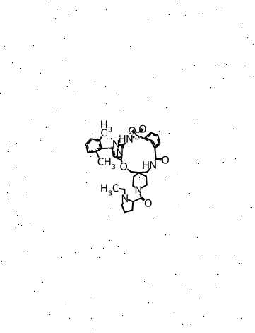 CCN1CCCC1C(=O)N1CCC2(CC1)CNC(=O)c1cccc(c1)S(=O)(=O)Nc1nc(cc(-c3c(C)cccc3C)n1)OC2